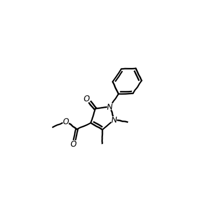 COC(=O)c1c(C)n(C)n(-c2ccccc2)c1=O